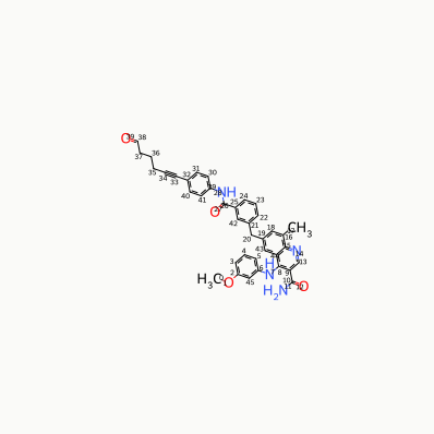 COc1cccc(Nc2c(C(N)=O)cnc3c(C)cc(Cc4cccc(C(=O)Nc5ccc(C#CCCCC=O)cc5)c4)cc23)c1